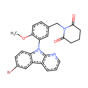 COc1ccc(CN2C(=O)CCCC2=O)cc1-n1c2ccc(Br)cc2c2cccnc21